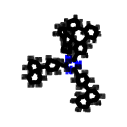 c1ccc2c(c1)-c1ccccc1C1(c3cc(-c4nc(-c5ccc(-c6cccc7ccccc67)cc5)nc(-c5ccc(-c6cccc7ccccc67)cc5)n4)ccc3-2)c2ccccc2-c2ccccc21